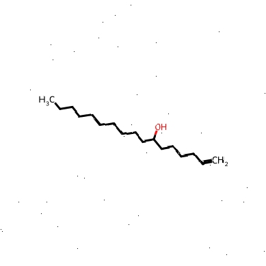 C=CCCCCC(O)CCCCCCCCCC